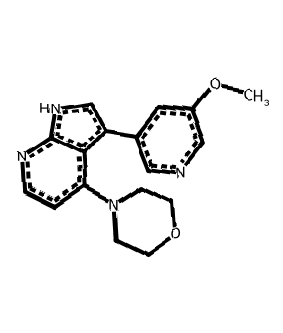 COc1cncc(-c2c[nH]c3nccc(N4CCOCC4)c23)c1